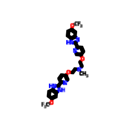 CN(CCOc1ccc(-c2nc3cc(OC(F)(F)F)ccc3[nH]2)nc1)CCOc1ccc(C2Nc3ccc(OC(F)(F)F)cc3N2)nc1